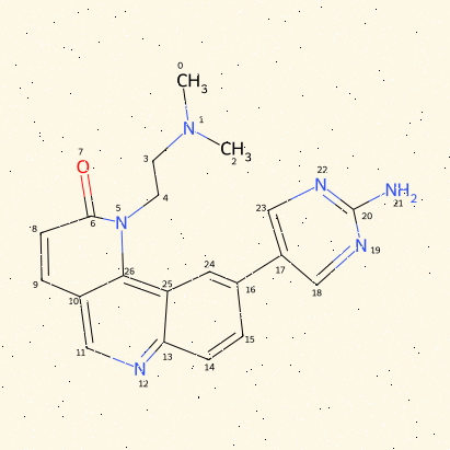 CN(C)CCn1c(=O)ccc2cnc3ccc(-c4cnc(N)nc4)cc3c21